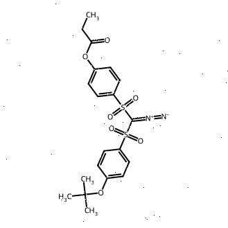 CCC(=O)Oc1ccc(S(=O)(=O)C(=[N+]=[N-])S(=O)(=O)c2ccc(OC(C)(C)C)cc2)cc1